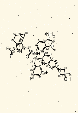 Cn1nc(N)c2cccc(-c3cc4sc(N5CC(C)(O)C5)nc4nc3[C@H](Cc3cc(F)cc(F)c3)NC(=O)Cn3nc(C(F)F)c4c3C3CC3CC4)c21